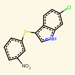 O=[N+]([O-])c1cccc(Sc2c[nH]c3cc(Cl)ccc23)c1